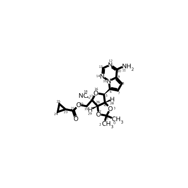 CC1(C)O[C@H]2[C@H](c3ccc4c(N)ncnn34)O[C@](C#N)(COC(=O)C3CC3)[C@H]2O1